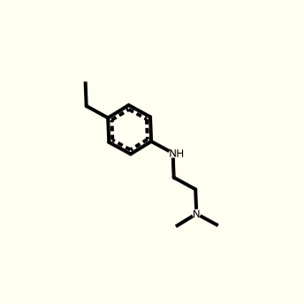 CCc1ccc(NCCN(C)C)cc1